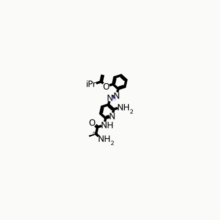 C=C(Oc1ccccc1/N=N/c1ccc(NC(=O)[C@H](C)N)nc1N)C(C)C